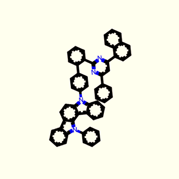 c1ccc(-c2cc(-c3cccc4ccccc34)nc(-c3ccccc3-c3ccc(-n4c5ccccc5c5c4ccc4c6ccccc6n(-c6ccccc6)c45)cc3)n2)cc1